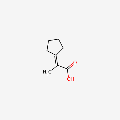 CC(C(=O)O)=C1CCCC1